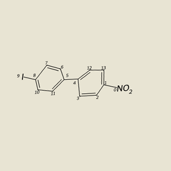 O=[N+]([O-])c1ccc(-c2ccc(I)cc2)cc1